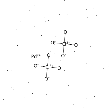 [O-][Cl+3]([O-])([O-])[O-].[O-][Cl+3]([O-])([O-])[O-].[Pd+2]